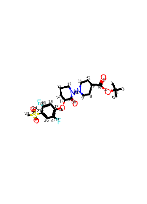 CC(C)(C)OC(=O)C1CCN(N2CCC[C@H](Oc3cc(F)c(S(C)(=O)=O)cc3F)C2=O)CC1